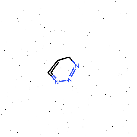 C1=CCN=NN=1